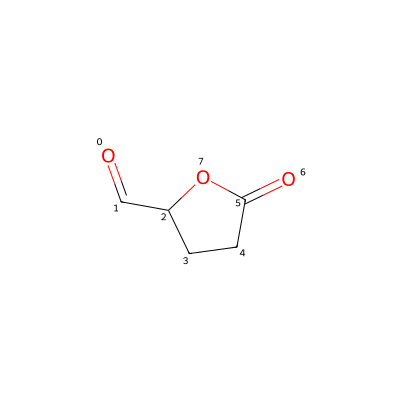 O=CC1CCC(=O)O1